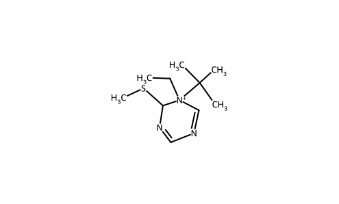 CC[N+]1(C(C)(C)C)C=NC=NC1SC